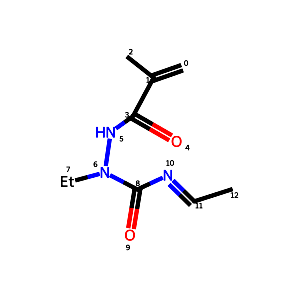 C=C(C)C(=O)NN(CC)C(=O)N=CC